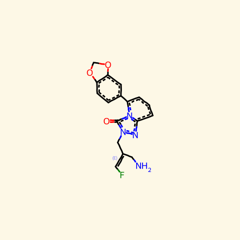 NC/C(=C\F)Cn1nc2cccc(-c3ccc4c(c3)OCO4)n2c1=O